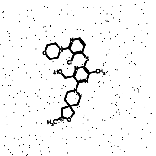 Cc1nc(N2CCC3(CC2)CO[C@@H](C)C3)c(CO)nc1Sc1ccnc(N2CCOCC2)c1Cl